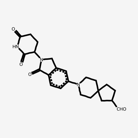 O=CC1CCC2(CCN(c3ccc4c(c3)CN(C3CCC(=O)NC3=O)C4=O)CC2)C1